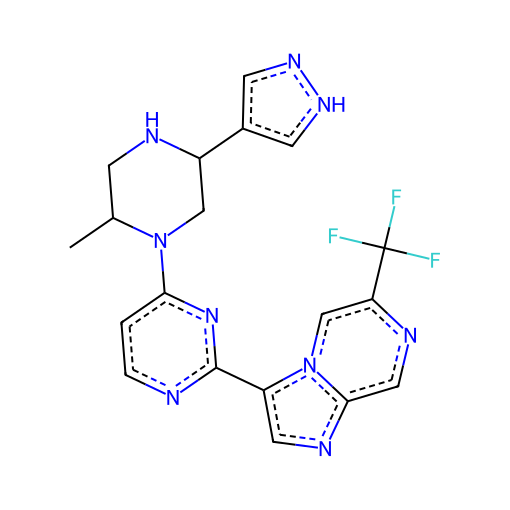 CC1CNC(c2cn[nH]c2)CN1c1ccnc(-c2cnc3cnc(C(F)(F)F)cn23)n1